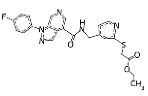 CCOC(=O)CSc1cc(CNC(=O)c2cncc3c2cnn3-c2ccc(F)cc2)ccn1